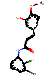 COc1ccc(/C=C/C(=O)Nc2cccc(Cl)c2Cl)cc1O